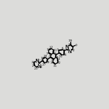 Cc1cnc(-c2ccc(-c3c4ccccc4c(-c4ccc(-c5ncccn5)cc4)c4ccccc34)cc2)nc1C